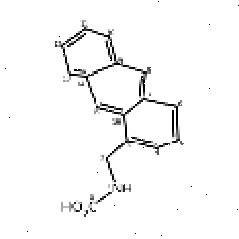 O=C(O)NCc1cccc2cc3ccccc3cc12